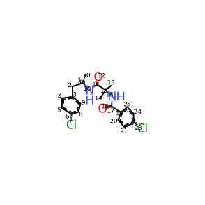 C[C@H](Cc1ccc(Cl)cc1)NC(=O)C(C)(C)NC(=O)c1ccc(Cl)cc1